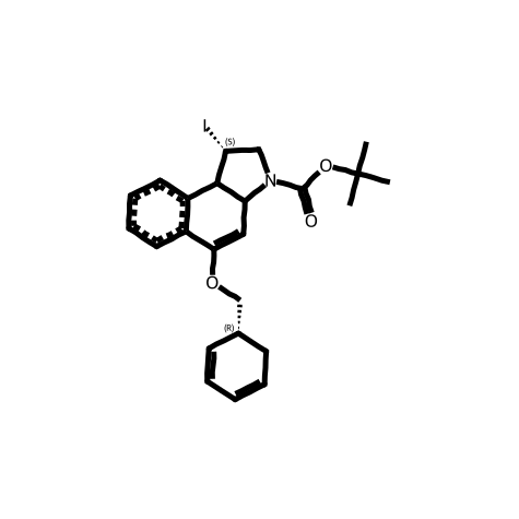 CC(C)(C)OC(=O)N1C[C@@H](I)C2c3ccccc3C(OC[C@H]3C=CC=CC3)=CC21